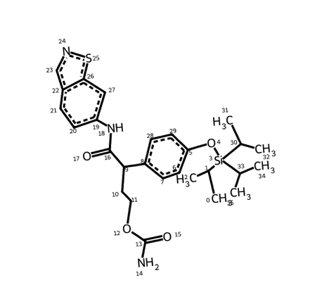 CC(C)[Si](Oc1ccc(C(CCOC(N)=O)C(=O)Nc2ccc3cnsc3c2)cc1)(C(C)C)C(C)C